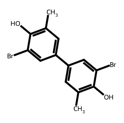 Cc1cc(-c2cc(C)c(O)c(Br)c2)cc(Br)c1O